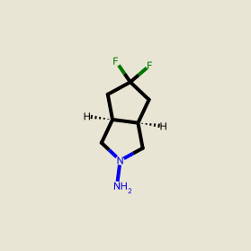 NN1C[C@@H]2CC(F)(F)C[C@@H]2C1